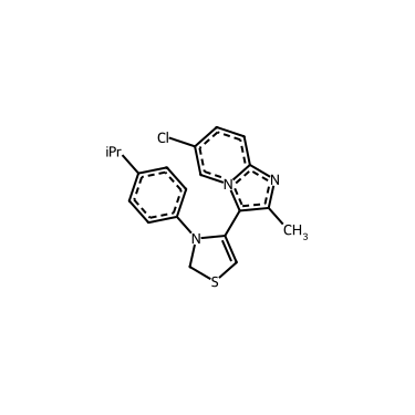 Cc1nc2ccc(Cl)cn2c1C1=CSCN1c1ccc(C(C)C)cc1